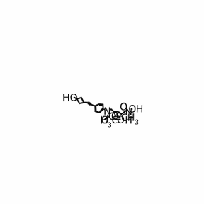 CC(CC1CN(c2ccc(C#CC3CC(O)C3)cc2)C(=O)O1)(C(=O)NO)S(C)(=O)=O